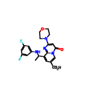 CC(Nc1cc(F)cc(F)c1)c1cc(C(=O)O)cn2c(=O)cc(N3CCOCC3)nc12